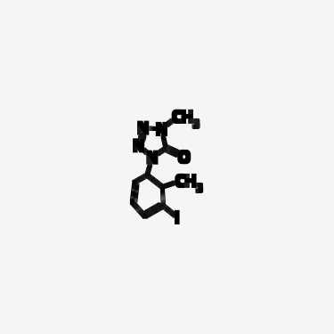 CC1C(I)=CC=CC1n1nnn(C)c1=O